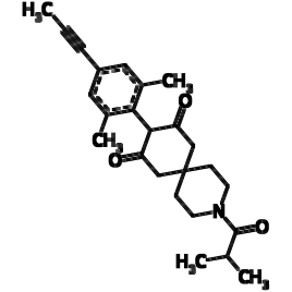 CC#Cc1cc(C)c(C2C(=O)CC3(CCN(C(=O)C(C)C)CC3)CC2=O)c(C)c1